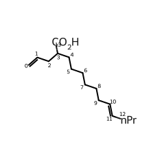 C=CCC(CCCCCCC=CCCC)C(=O)O